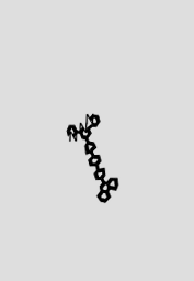 c1ccc(-c2cc(-c3ccc(-c4ccc(-c5ccc(-c6cc7ccccc7c7ccccc67)cc5)cc4)cc3)cc(-c3ccccn3)n2)nc1